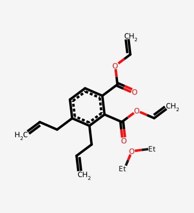 C=CCc1ccc(C(=O)OC=C)c(C(=O)OC=C)c1CC=C.CCOCC